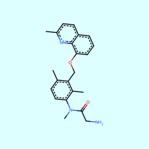 Cc1ccc2cccc(OCc3c(C)ccc(N(C)C(=O)CN)c3C)c2n1